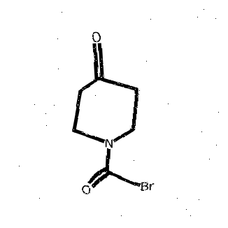 O=C1CCN(C(=O)Br)CC1